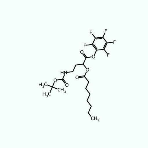 CCCCCCCC(=O)OC(CCNC(=O)OC(C)(C)C)C(=O)Oc1c(F)c(F)c(F)c(F)c1F